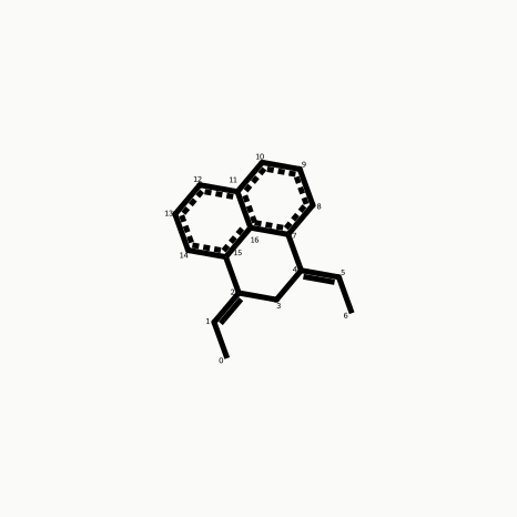 CC=C1CC(=CC)c2cccc3cccc1c23